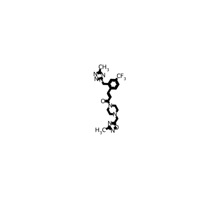 Cc1noc(CN2CCN(C(=O)C=Cc3ccc(C(F)(F)F)cc3Cn3nnc(C)n3)CC2)n1